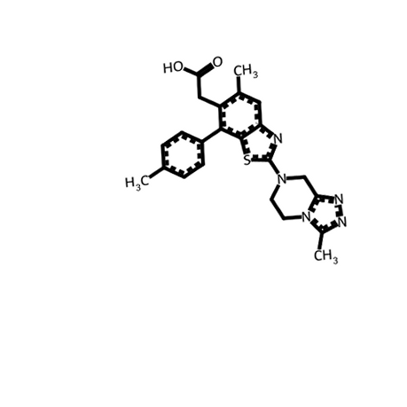 Cc1ccc(-c2c(CC(=O)O)c(C)cc3nc(N4CCn5c(C)nnc5C4)sc23)cc1